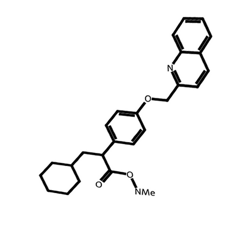 CNOC(=O)C(CC1CCCCC1)c1ccc(OCc2ccc3ccccc3n2)cc1